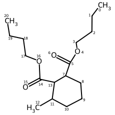 CCCCOC(=O)C1CCCC(C)C1C(=O)OCCCC